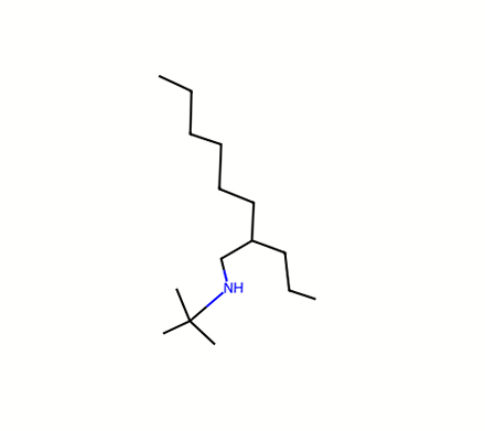 CCCCCCC(CCC)CNC(C)(C)C